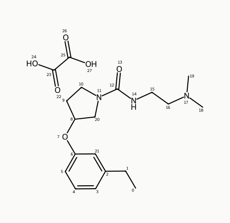 CCc1cccc(OC2CCN(C(=O)NCCN(C)C)C2)c1.O=C(O)C(=O)O